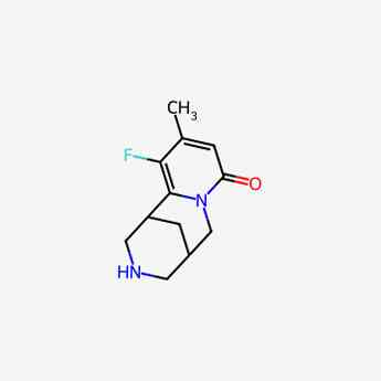 Cc1cc(=O)n2c(c1F)C1CNCC(C1)C2